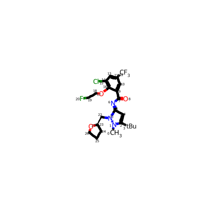 Cn1c(C(C)(C)C)c/c(=N\C(=O)c2cc(C(F)(F)F)cc(Cl)c2OCCF)n1C[C@H]1CCCO1